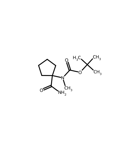 CN(C(=O)OC(C)(C)C)C1(C(N)=O)CCCC1